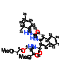 COCCOC[C@H](NC(=O)c1cc2ccccc2cc1NC(=O)Nc1c(C)cc(C)cc1C)C(=O)OC